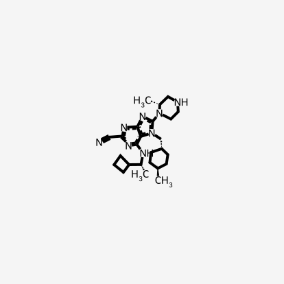 C[C@@H]1CNCCN1c1nc2nc(C#N)nc(N[C@H](C)C3CCC3)c2n1C[C@H]1CC[C@H](C)CC1